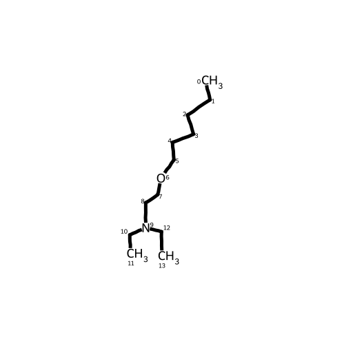 CCCCCCOCCN(CC)CC